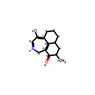 CC1CC2CCCC3=C(Cl)C=NCC(=C32)C1=O